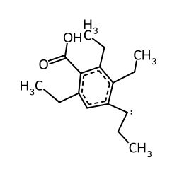 CC[C]c1cc(CC)c(C(=O)O)c(CC)c1CC